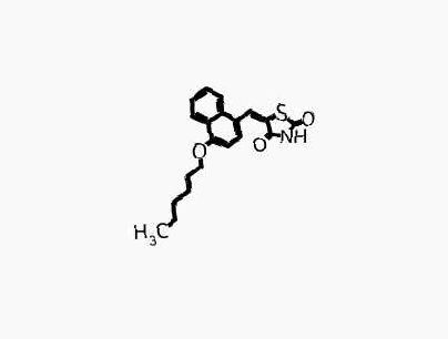 CCCCCCOc1ccc(C=C2SC(=O)NC2=O)c2ccccc12